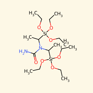 CCO[Si](OCC)(OCC)C(C)N(C(N)=O)C(C)[Si](OCC)(OCC)OCC